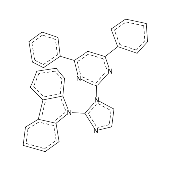 c1ccc(-c2cc(-c3ccccc3)nc(-n3ccnc3-n3c4ccccc4c4ccccc43)n2)cc1